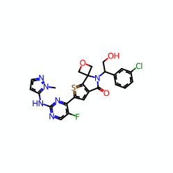 Cn1nccc1Nc1ncc(F)c(-c2cc3c(s2)C2(COC2)N(C(CO)c2cccc(Cl)c2)C3=O)n1